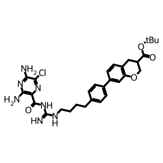 CC(C)(C)OC(=O)C1COc2cc(-c3ccc(CCCCNC(=N)NC(=O)c4nc(Cl)c(N)nc4N)cc3)ccc2C1